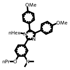 CCCCCCn1c(-c2ccc(OCCC)c(N(C)C)c2)nc(-c2ccc(OC)cc2)c1-c1ccc(OC)cc1